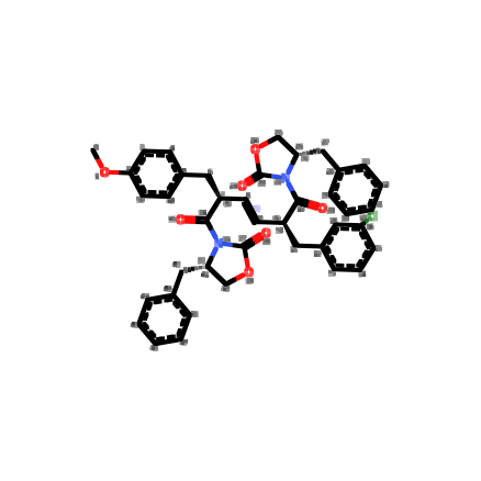 COc1ccc(C[C@@H](/C=C/[C@H](Cc2cccc(Cl)c2)C(=O)N2C(=O)OC[C@@H]2Cc2ccccc2)C(=O)N2C(=O)OC[C@@H]2Cc2ccccc2)cc1